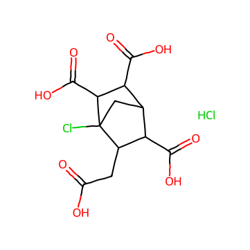 Cl.O=C(O)CC1C(C(=O)O)C2CC1(Cl)C(C(=O)O)C2C(=O)O